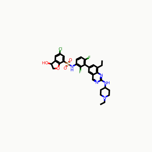 CCc1cc(-c2c(F)ccc(NS(=O)(=O)c3cc(Cl)cc4c3OCC4O)c2F)cc2cnc(NC3CCN(CC)CC3)nc12